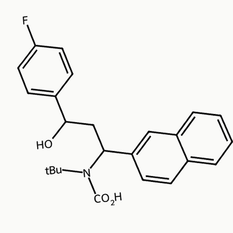 CC(C)(C)N(C(=O)O)C(CC(O)c1ccc(F)cc1)c1ccc2ccccc2c1